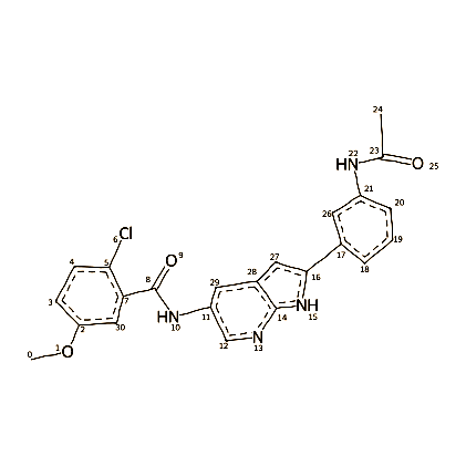 COc1ccc(Cl)c(C(=O)Nc2cnc3[nH]c(-c4cccc(NC(C)=O)c4)cc3c2)c1